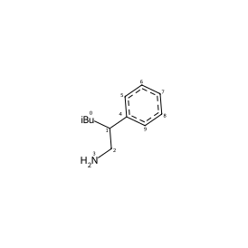 CCC(C)C(CN)c1ccccc1